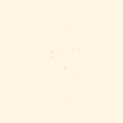 CC(=O)c1ccc(Cn2nc(C(N)=O)c(-c3nc(C(=O)O)c(-c4cccc(C(F)(F)F)c4)o3)n2)o1